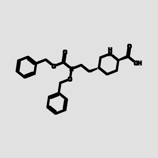 O=C(O)[C@H]1CC[C@H](CCN(OCc2ccccc2)C(=O)OCc2ccccc2)CN1